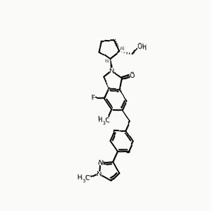 Cc1c(Cc2ccc(-c3ccn(C)n3)cc2)cc2c(c1F)CN([C@H]1CCC[C@@H]1CO)C2=O